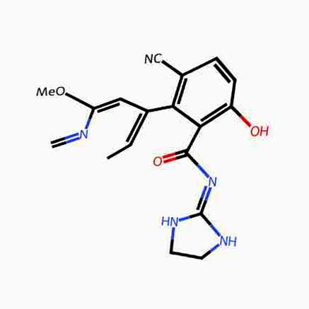 C=N/C(=C\C(=C/C)c1c(C#N)ccc(O)c1C(=O)N=C1NCCN1)OC